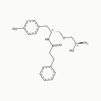 C[C@@H](O)COC[C@@H](Cc1ccc(O)cc1)NC(=O)CCc1ccccc1